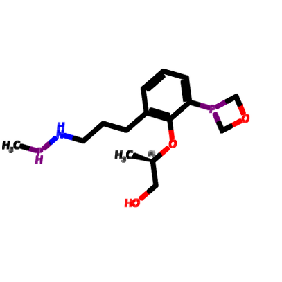 CPNCCCc1cccc(P2COC2)c1O[C@H](C)CO